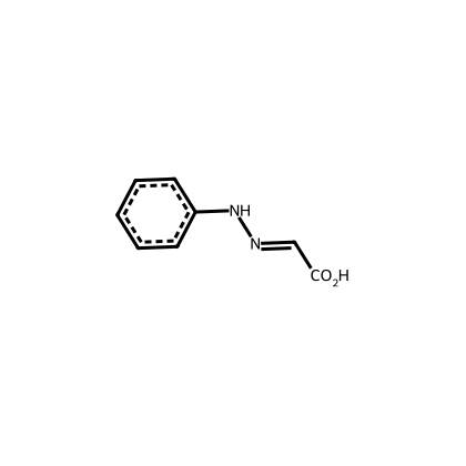 O=C(O)C=NNc1ccccc1